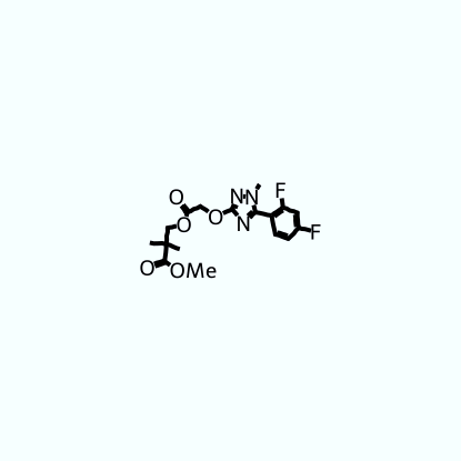 COC(=O)C(C)(C)COC(=O)COc1nc(-c2ccc(F)cc2F)n(C)n1